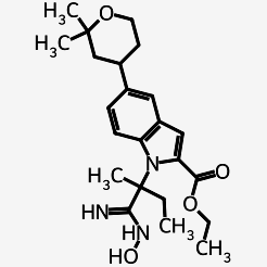 CCOC(=O)c1cc2cc(C3CCOC(C)(C)C3)ccc2n1C(C)(CC)C(=N)NO